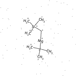 C[C](C)(C)[Mg][CH2][Si](C)(C)C